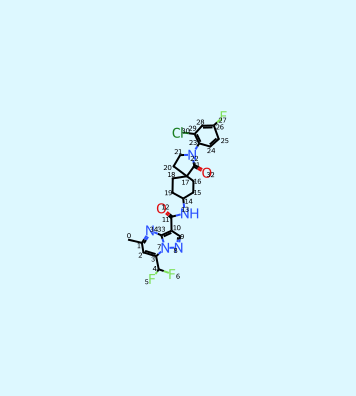 Cc1cc(C(F)F)n2ncc(C(=O)NC3CCC4(CC3)CCN(c3ccc(F)cc3Cl)C4=O)c2n1